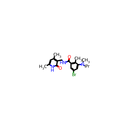 Cc1cc(C)c(CNC(=O)c2cc(Br)cc(N(C)C(C)C)c2C)c(=O)[nH]1